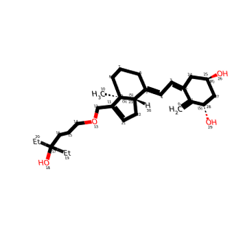 C=C1C(=CC=C2CCC[C@]3(C)C(COCCCC(O)(CC)CC)=CC[C@@H]23)C[C@@H](O)C[C@@H]1O